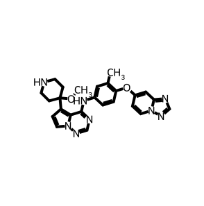 COC1(c2ccn3ncnc(Nc4ccc(Oc5ccn6ncnc6c5)c(C)c4)c23)CCNCC1